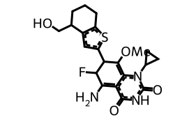 COC1=c2c(c(=O)[nH]c(=O)n2C2CC2)=C(N)C(F)C1c1cc2c(s1)CCCC2CO